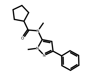 CN(C(=O)C1CCCC1)c1cc(-c2ccccc2)nn1C